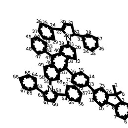 CC1(C)c2ccccc2-c2ccc(-c3ccc(-c4c5ccc(N6C(c7ccccc7)=CCC6c6ccccc6)cc5c(-c5ccccc5)c5ccc(-n6c(-c7ccccc7)ccc6-c6ccccc6)cc45)cc3)cc21